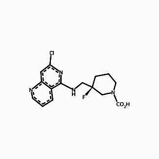 O=C(O)N1CCC[C@@](F)(CNc2nc(Cl)cc3ncccc23)C1